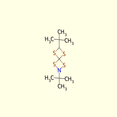 CC(C)(C)C1SC2(S1)SN(C(C)(C)C)S2